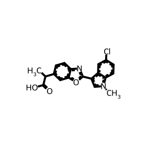 CC(C(=O)O)c1ccc2nc(-c3cn(C)c4ccc(Cl)cc34)oc2c1